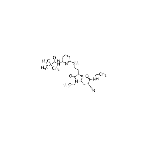 CCNC(=O)C(C#N)CC1SC(CCNc2cccc(NC(=O)C(C)(C)C)n2)C(=O)N1CC